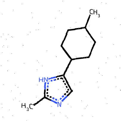 Cc1ncc(C2CCC(C)CC2)[nH]1